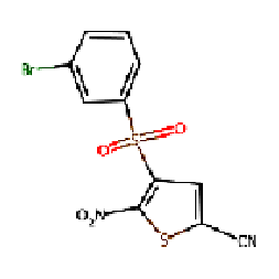 N#Cc1cc(S(=O)(=O)c2cccc(Br)c2)c([N+](=O)[O-])s1